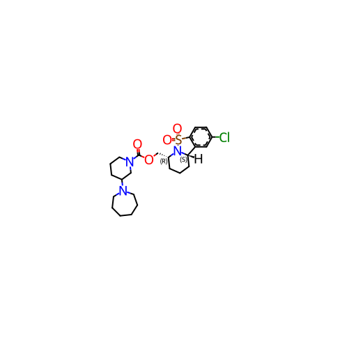 O=C(OC[C@H]1CCC[C@H]2c3cc(Cl)ccc3S(=O)(=O)N12)N1CCCC(N2CCCCCC2)C1